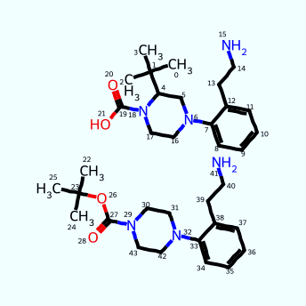 CC(C)(C)C1CN(c2ccccc2CCN)CCN1C(=O)O.CC(C)(C)OC(=O)N1CCN(c2ccccc2CCN)CC1